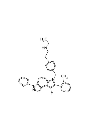 CCNCCc1ccc(Cn2c(-c3ccccc3C)c(F)c3c4cnn(-c5ccccc5)c4ccc32)cc1